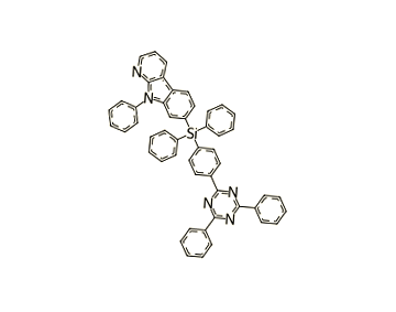 c1ccc(-c2nc(-c3ccccc3)nc(-c3ccc([Si](c4ccccc4)(c4ccccc4)c4ccc5c6cccnc6n(-c6ccccc6)c5c4)cc3)n2)cc1